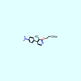 COCCOc1nccc(-c2ccc(N(C)C)cc2)c1C#N